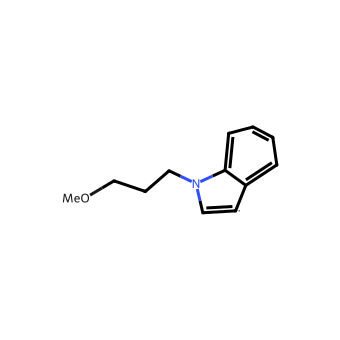 COCCCn1c[c]c2ccccc21